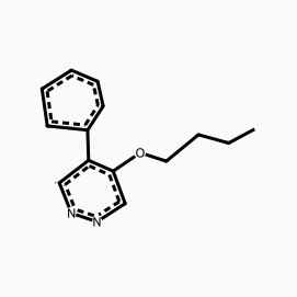 CCCCOc1cnn[c]c1-c1ccccc1